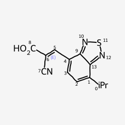 CC(C)c1ccc(/C=C(\C#N)C(=O)O)c2nsnc12